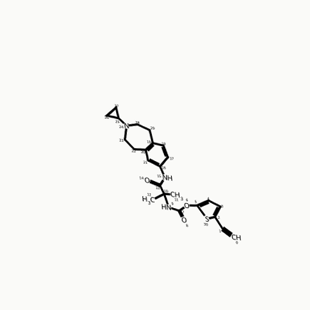 C#Cc1ccc(OC(=O)NC(C)(C)C(=O)Nc2ccc3c(c2)CCN(C2CC2)CC3)s1